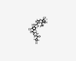 CCc1cc(NC(=O)c2ncc(Cc3c(C(F)(F)F)n[nH]c3CC(F)F)[nH]2)ccc1C(=O)N1CCN(C(=O)C2CNC2)CC1